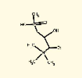 CCC(C(O)CP(C)(=O)O)[N+](C)(C)C